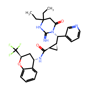 CCC1(CC)CC(=O)N([C@H](c2cccnc2)[C@@H]2C[C@H]2C(=O)N[C@H]2C[C@H](C(F)(F)F)Oc3ccccc32)C(=N)N1